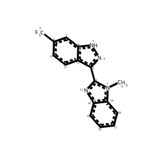 Cn1c(-c2n[nH]c3cc(C(F)(F)F)ccc23)nc2ccccc21